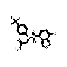 NC(=O)CN(c1ccc(C(F)(F)F)cc1)S(=O)(=O)c1ccc(Cl)c2nonc12